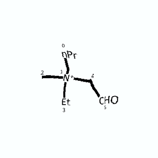 CCC[N+](C)(CC)CC=O